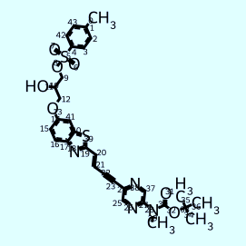 Cc1ccc(S(=O)(=O)OCC(O)COc2ccc3nc(C=CC#Cc4cnc(N(C)C(=O)OC(C)(C)C)cn4)sc3c2)cc1